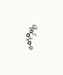 Cc1nc(NC(=N)N)sc1-c1cccc(NC(=O)c2ccc(C3CSN=N3)cc2)c1